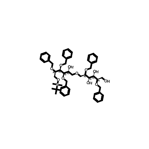 CC(C)(C)[Si](C)(C)OC[C@@H](OCc1ccccc1)[C@@H](OCc1ccccc1)[C@H](OCc1ccccc1)[C@H](O)COC[C@@H](OCc1ccccc1)[C@@H](O)[C@H](O)[C@@H](CO)OCc1ccccc1